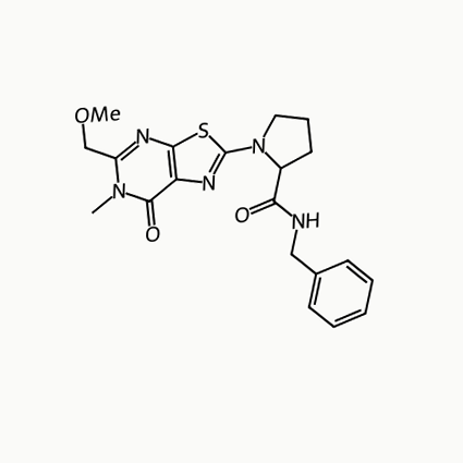 COCc1nc2sc(N3CCCC3C(=O)NCc3ccccc3)nc2c(=O)n1C